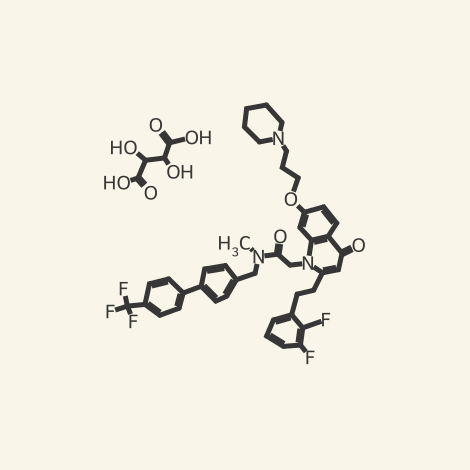 CN(Cc1ccc(-c2ccc(C(F)(F)F)cc2)cc1)C(=O)Cn1c(CCc2cccc(F)c2F)cc(=O)c2ccc(OCCCN3CCCCC3)cc21.O=C(O)C(O)C(O)C(=O)O